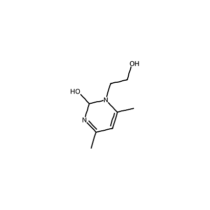 CC1=CC(C)=NC(O)N1CCO